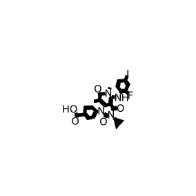 Cc1c(=O)n(C)c(Nc2ccc(I)cc2F)c2c(=O)n(C3CC3)c(=O)n(-c3ccc(C(=O)O)cc3)c12